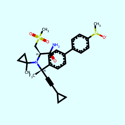 C[S+]([O-])c1ccc(-c2ccc([C@](C#CC3CC3)(N([C@@H](CS(C)(=O)=O)C(N)=O)C3(C#N)CC3)C(F)(F)F)cc2)cc1